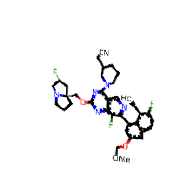 C#Cc1c(F)ccc2cc(OCOC)cc(-c3ncc4c(N5CCCC(CC#N)C5)nc(OC[C@@]56CCCN5C[C@H](F)C6)nc4c3F)c12